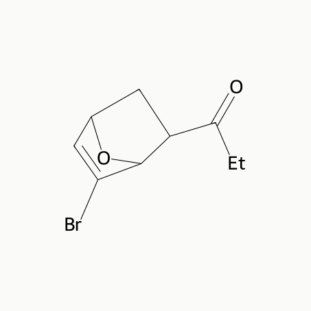 CCC(=O)C1CC2C=C(Br)C1O2